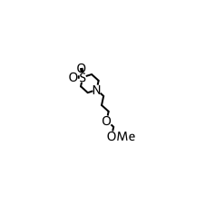 COCOCCCN1CCS(=O)(=O)CC1